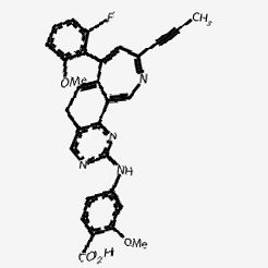 CC#CC1=NC=C2C(=CCc3cnc(Nc4ccc(C(=O)O)c(OC)c4)nc32)C(c2c(F)cccc2OC)=C1